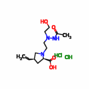 C=C[C@@H]1C[C@H](C(=O)O)N(CCN(CCO)NC(C)=O)C1.Cl.Cl